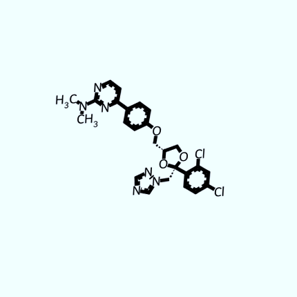 CN(C)c1nccc(-c2ccc(OC[C@@H]3CO[C@@](Cn4cncn4)(c4ccc(Cl)cc4Cl)O3)cc2)n1